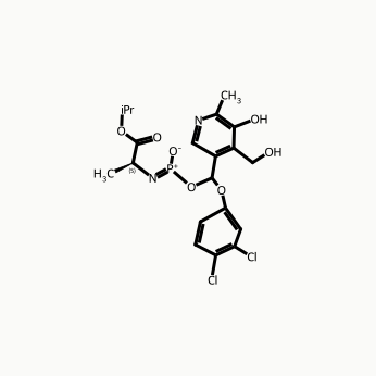 Cc1ncc(C(Oc2ccc(Cl)c(Cl)c2)O[P+]([O-])=N[C@@H](C)C(=O)OC(C)C)c(CO)c1O